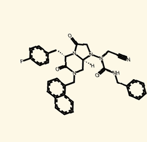 N#CCN(C(=O)NCc1ccccc1)N1CC(=O)N2[C@@H](Cc3ccc(F)cc3)C(=O)N(Cc3cccc4ccccc34)C[C@@H]21